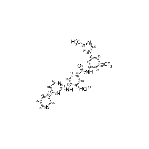 Cc1cn(-c2cc(NC(=O)c3ccc(Nc4nccc(-c5cccnc5)n4)cc3)cc(C(F)(F)F)c2)cn1.Cl